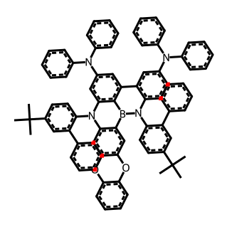 CC(C)(C)c1ccc(N2B3c4cc5c(cc4N(c4ccc(C(C)(C)C)cc4-c4ccccc4)c4cc(N(c6ccccc6)c6ccccc6)cc(c43)-c3cc(N(c4ccccc4)c4ccccc4)ccc32)Oc2ccccc2O5)c(-c2ccccc2)c1